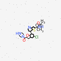 CC(=O)NC(C)(C)c1cc2nccc(-c3cc(Cl)cc4c3OC(C(=O)N3CCNCC3)C4)c2s1